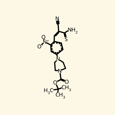 CC(C)(C)OC(=O)N1CCN(c2ccc(C=C(C#N)C(N)=S)c([N+](=O)[O-])c2)CC1